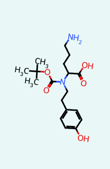 CC(C)(C)OC(=O)N(CCc1ccc(O)cc1)C(CCCN)C(=O)O